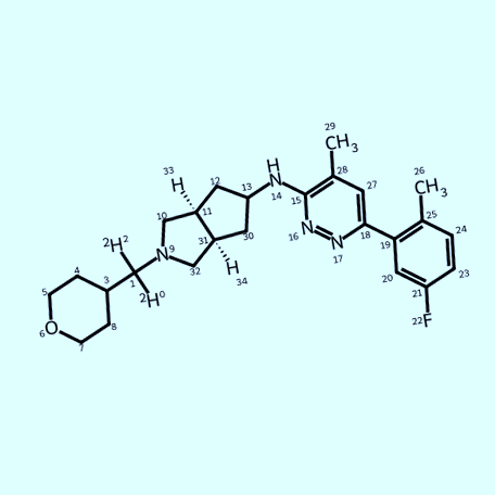 [2H]C([2H])(C1CCOCC1)N1C[C@H]2CC(Nc3nnc(-c4cc(F)ccc4C)cc3C)C[C@H]2C1